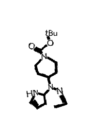 C/C=N\N(C1CCN(C(=O)OC(C)(C)C)CC1)C1CC=CN1